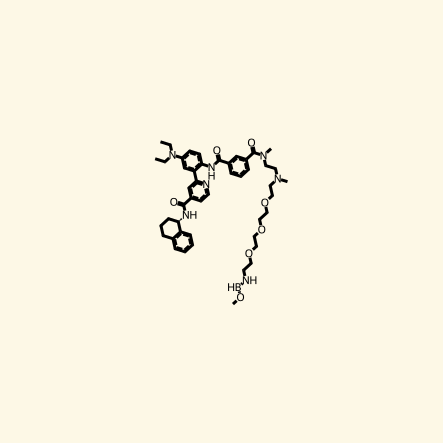 CCN(CC)c1ccc(NC(=O)c2cccc(C(=O)N(C)CCN(C)CCOCCOCCOCCNBOC)c2)c(-c2cc(C(=O)N[C@H]3CCCc4ccccc43)ccn2)c1